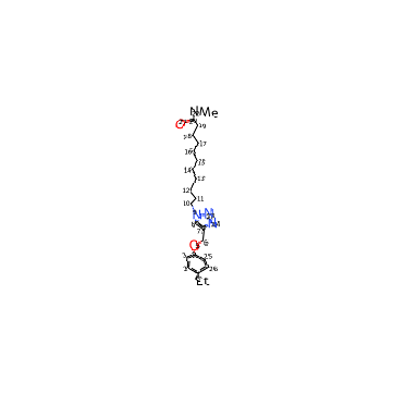 CCc1ccc(OCc2cn(CCCCCCCCCCC(=O)NC)nn2)cc1